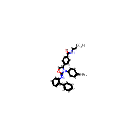 CC(C)(C)C1CCC(N2/C(=N/c3ccccc3-c3ccccc3)OCC2c2ccc(C(=O)NCCC(=O)O)cc2)CC1